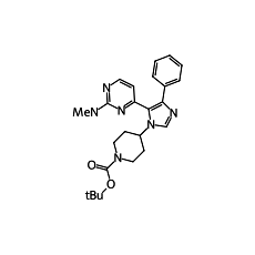 CNc1nccc(-c2c(-c3ccccc3)ncn2C2CCN(C(=O)OC(C)(C)C)CC2)n1